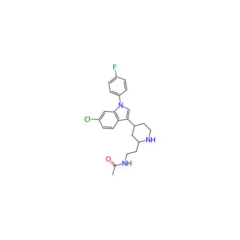 CC(=O)NCCC1CC(c2cn(-c3ccc(F)cc3)c3cc(Cl)ccc23)CCN1